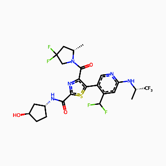 C[C@H](Nc1cc(C(F)F)c(-c2sc(C(=O)N[C@@H]3CC[C@@H](O)C3)nc2C(=O)N2CC(F)(F)C[C@@H]2C)cn1)C(F)(F)F